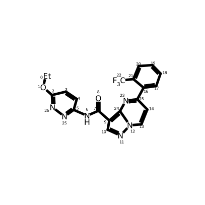 CCOc1ccc(NC(=O)c2cnn3ccc(-c4ccccc4C(F)(F)F)nc23)nn1